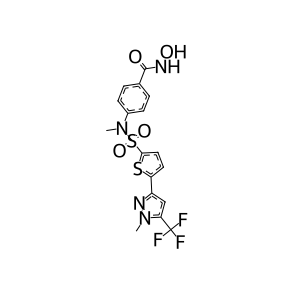 CN(c1ccc(C(=O)NO)cc1)S(=O)(=O)c1ccc(-c2cc(C(F)(F)F)n(C)n2)s1